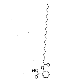 CCCCCCCCCCCCCCCCCCCC(=O)Oc1ccccc1C(=O)O